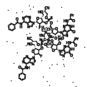 CC(C)C(=O)Nc1nc2c(ncn2[C@@H]2O[C@H](COP(=S)(OCCC#N)O[C@H]3[C@@H](F)[C@H](n4cnc5c(NC(=O)c6ccccc6)ncnc54)O[C@@H]3CO)[C@@H](O[Si](C)(C)C(C)(C)C)[C@H]2O[PH](=O)O[C@@H]2[C@H](O[Si](C)(C)C(C)(C)C)[C@@H](COP(=S)(OCCC#N)O[C@H]3[C@@H](F)[C@H](n4cnc5c(NC(=O)c6ccccc6)ncnc54)O[C@@H]3CO)O[C@H]2n2cnc3c(=O)[nH]c(NC(=O)C(C)C)nc32)c(=O)[nH]1